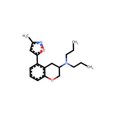 CCCN(CCC)C1COc2cccc(-c3cc(C)no3)c2C1